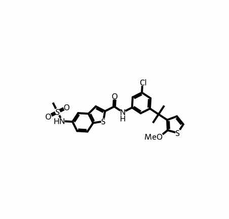 COc1sccc1C(C)(C)c1cc(Cl)cc(NC(=O)c2cc3cc(NS(C)(=O)=O)ccc3s2)c1